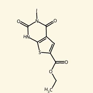 CCOC(=O)c1cc2c(=O)n(I)c(=O)[nH]c2s1